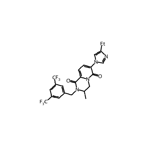 CCc1cn(-c2ccc3n(c2=O)CC(C)N(Cc2cc(C(F)(F)F)cc(C(F)(F)F)c2)C3=O)cn1